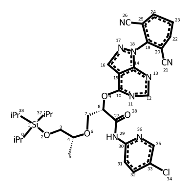 CC(C)[Si](OC[C@@H](C)OC[C@H](Oc1ncnc2c1cnn2-c1c(C#N)cccc1C#N)C(=O)Nc1ccc(Cl)cn1)(C(C)C)C(C)C